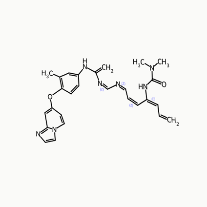 C=C\C=C(/C=C\C=N/C=N\C(=C)Nc1ccc(Oc2ccn3ccnc3c2)c(C)c1)NC(=O)N(C)C